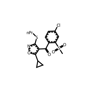 CCCSc1noc(C2CC2)c1C(=O)c1ccc(Cl)cc1S(C)(=O)=O